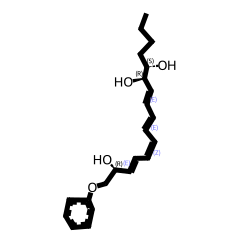 CCCC[C@H](O)[C@H](O)/C=C/C=C/C=C\C=C\[C@@H](O)COc1ccccc1